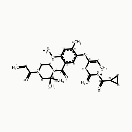 C=CC(=O)N1CCN(C(=O)c2cc(S/C(=C/C)SC(=C)NC(=O)C3CC3)c(C)cc2OC)C(C)(C)C1